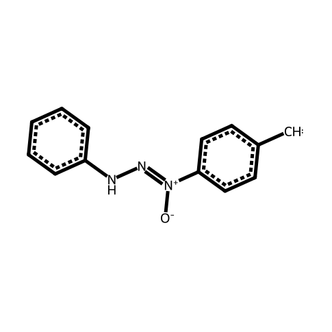 [CH]c1ccc([N+]([O-])=NNc2ccccc2)cc1